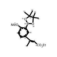 CCOC(=O)C=C(C)c1ccc(OC)c(B2OC(C)(C)C(C)(C)O2)c1